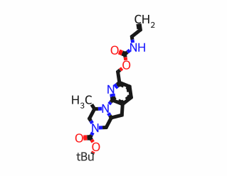 C=CCNC(=O)OCc1ccc2c(n1)N1C(C)CN(C(=O)OC(C)(C)C)CC1C2